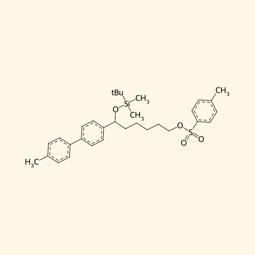 Cc1ccc(-c2ccc(C(CCCCCOS(=O)(=O)c3ccc(C)cc3)O[Si](C)(C)C(C)(C)C)cc2)cc1